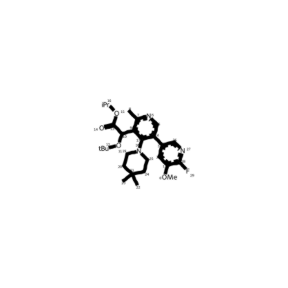 COc1cc(-c2cnc(C)c(C(OC(C)(C)C)C(=O)OC(C)C)c2N2CCC(C)(C)CC2)cnc1F